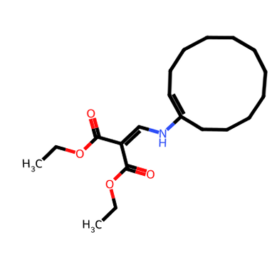 CCOC(=O)C(=CNC1=CCCCCCCCCCC1)C(=O)OCC